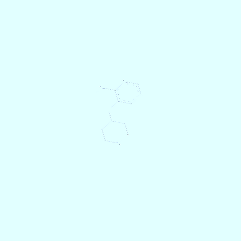 Nc1ncccc1OC1CCNCC1